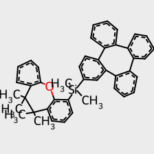 CC1(C)c2ccccc2Oc2c(cccc2[Si](C)(C)c2ccc3c(c2)-c2ccccc2-c2ccccc2-c2ccccc2-3)C1(C)C